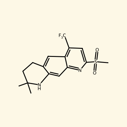 CC1(C)CCc2cc3c(C(F)(F)F)cc(S(C)(=O)=O)nc3cc2N1